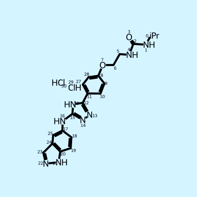 CC(C)NC(=O)NCCOc1ccc(-c2nnc(Nc3ccc4[nH]ncc4c3)[nH]2)cc1.Cl.Cl